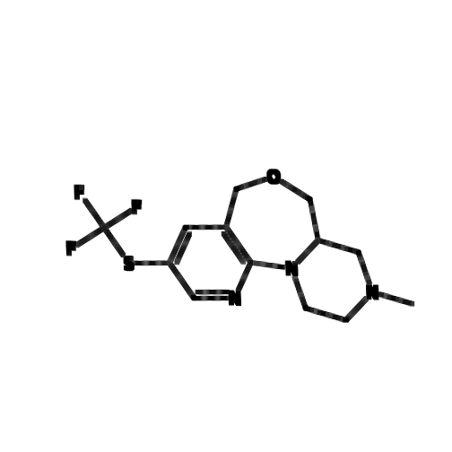 CN1CCN2c3ncc(SC(F)(F)F)cc3COCC2C1